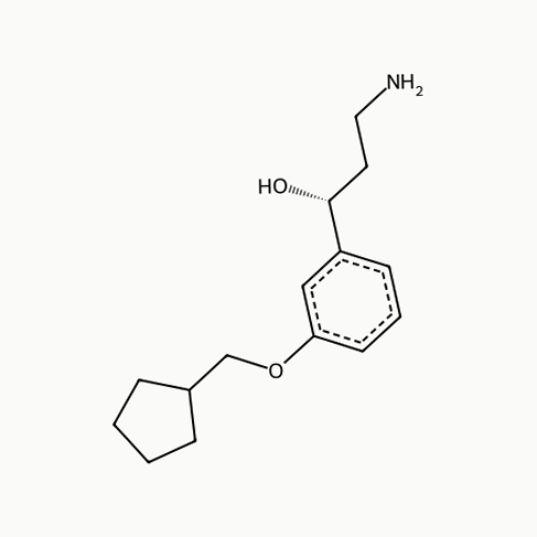 NCC[C@@H](O)c1cccc(OCC2CCCC2)c1